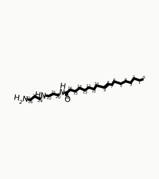 CCCCCCCCC=CCCCCCCCC(=O)NCCCNCCCN